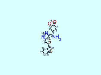 NC(c1ccc2c(c1)OCO2)c1ncnc2cc(-c3csc4ccccc34)sc12